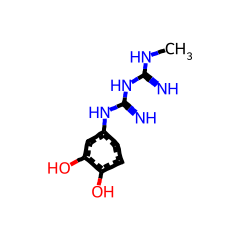 CNC(=N)NC(=N)Nc1ccc(O)c(O)c1